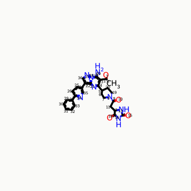 CC(=O)c1c(C2CCN(C(=O)CC3NC(=O)NC3=O)CC2)nc2c(-c3ccc(-c4ccccc4)nc3)cnn2c1N